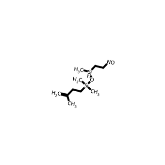 C=C(C)CC[Si](C)(C)O[SiH](C)CCN=O